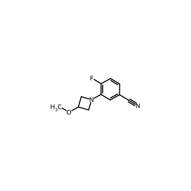 COC1CN(c2cc(C#N)ccc2F)C1